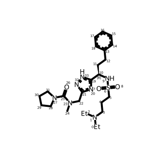 CCN(CC)CCCS(=O)(=O)N[C@H](CCc1ccccc1)c1nc(CN(C)C(=O)N2CCCC2)n[nH]1